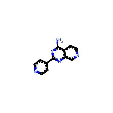 Nc1nc(-c2ccncc2)nc2cnccc12